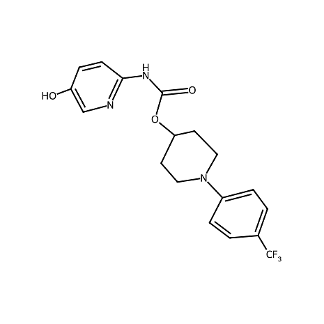 O=C(Nc1ccc(O)cn1)OC1CCN(c2ccc(C(F)(F)F)cc2)CC1